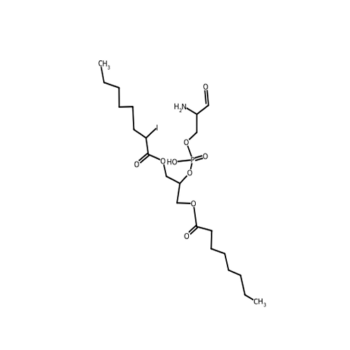 CCCCCCCC(=O)OCC(COC(=O)C(I)CCCCCC)OP(=O)(O)OCC(N)C=O